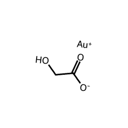 O=C([O-])CO.[Au+]